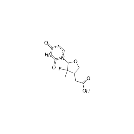 CC1(F)C(CC(=O)O)COC1n1ccc(=O)[nH]c1=O